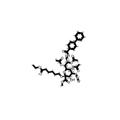 CCOC(=O)CCCCCO[C@@]1(C(=O)OC)OC([C@H](OC(C)=O)[C@@H](CNC(=O)c2ccc(-c3ccccc3)cc2)OC(C)=O)[C@H](NC(C)=O)C(N=[N+]=[N-])[C@@H]1O